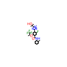 Cc1ccccc1NC(=O)c1cc(F)c(-c2nc(C(C)(C)O)n(C)n2)cc1OC(C)C(F)(F)F